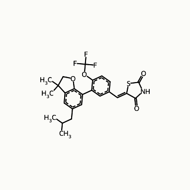 CC(C)Cc1cc(-c2cc(/C=C3\SC(=O)NC3=O)ccc2OC(F)(F)F)c2c(c1)C(C)(C)CO2